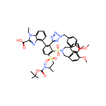 CCn1c(C(=O)O)nc2c(-c3ccc(S(=O)(=O)CC(C)NC(=O)OC(C)(C)C)c(S(=O)(=O)N(Cc4ccc(OC)cc4)Cc4ccc(OC)cc4)c3-c3nnn(Cc4ccc(OC)cc4)n3)cccc21